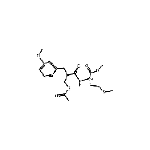 COC(=O)[C@H](CCSC)NC(=O)C(CSC(C)=O)Cc1cccc(OC)c1